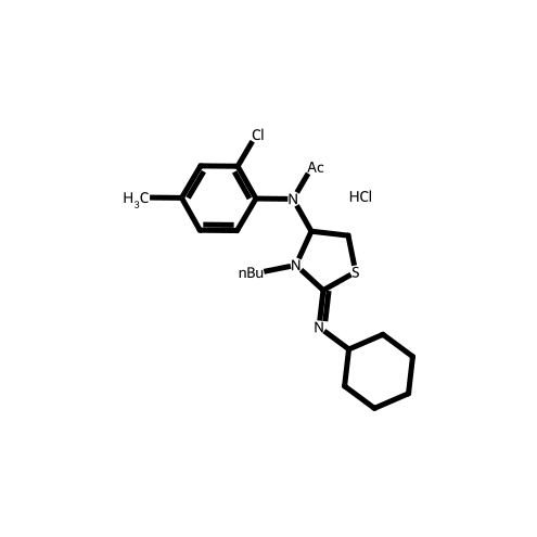 CCCCN1C(=NC2CCCCC2)SCC1N(C(C)=O)c1ccc(C)cc1Cl.Cl